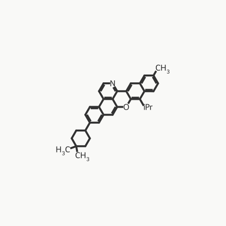 Cc1ccc2c(C(C)C)c3c(cc2c1)-c1nccc2c1c(cc1cc(C4CCC(C)(C)CC4)ccc12)O3